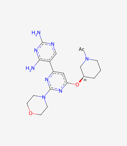 CC(=O)N1CCC[C@@H](Oc2cc(-c3cnc(N)nc3N)nc(N3CCOCC3)n2)C1